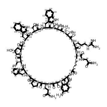 CCCC[C@H]1C(=O)N(C)[C@@H](CCCC)C(=O)N[C@@H](CCCNC(=N)N)C(=O)N[C@H](C(=O)NCC(N)=O)CSCC(=O)N[C@H]2Cc3ccc(N)cc3N(C2=O)[C@@H](C)C(=O)N[C@@H](CCC(N)=O)C(=O)N2CCC[C@H]2C(=O)N[C@@H](Cc2cnc[nH]2)C(=O)N[C@@H](CC(C)C)C(=O)N2C[C@H](O)CC2C(=O)N[C@@H](Cc2c[nH]c3ccccc23)C(=O)N[C@@H](CO)C(=O)N[C@@H](Cc2c[nH]c3ccccc23)C(=O)N1C